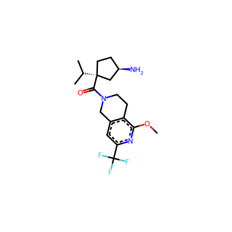 COc1nc(C(F)(F)F)cc2c1CCN(C(=O)[C@@]1(C(C)C)CC[C@@H](N)C1)C2